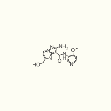 COc1ccncc1NC(=O)c1c(N)nn2ccc(CO)nc12